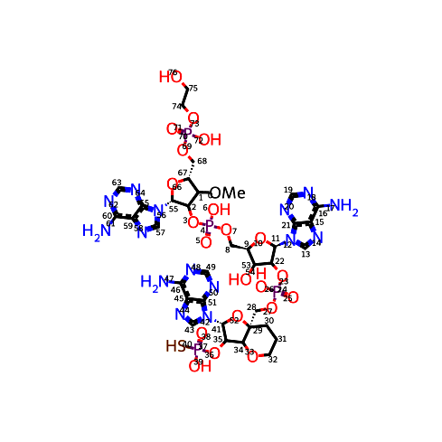 COC1C(OP(=O)(O)OC[C@H]2O[C@@H](n3cnc4c(N)ncnc43)C(OP(=O)(O)OC[C@]34CCCOC3C(OP(=O)(O)S)[C@H](n3cnc5c(N)ncnc53)O4)C2O)[C@H](n2cnc3c(N)ncnc32)O[C@@H]1COP(=O)(O)OCCO